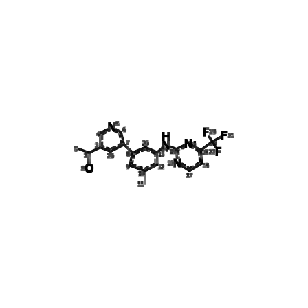 CC(=O)c1cncc(-c2cc(C)cc(Nc3nccc(C(F)(F)F)n3)c2)c1